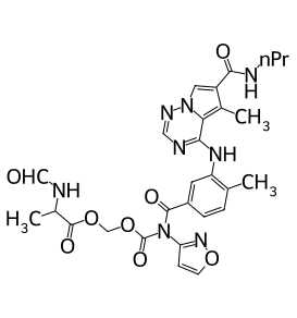 CCCNC(=O)c1cn2ncnc(Nc3cc(C(=O)N(C(=O)OCOC(=O)C(C)NC=O)c4ccon4)ccc3C)c2c1C